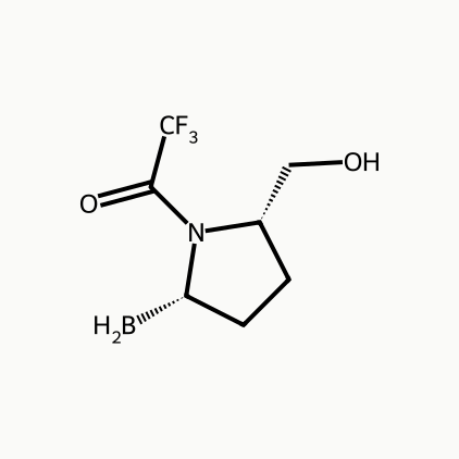 B[C@H]1CC[C@@H](CO)N1C(=O)C(F)(F)F